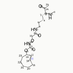 CN[C@H](CCCCNC(=O)CONC(=O)OC1/C=C/CCCCC1)C(C)=O